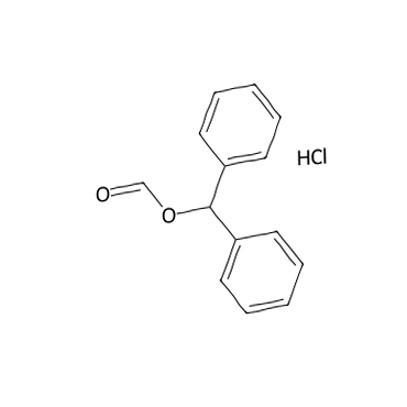 Cl.O=COC(c1ccccc1)c1ccccc1